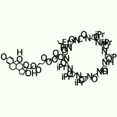 C/C=C/C[C@@H](C)[C@@H](OC(=O)OCOC(=O)CCC(=O)OCC(=O)[C@@]1(O)CCC2C3CCC4=CC(=O)C=C[C@]4(C)C3[C@@H](O)C[C@@]21C)C1C(=O)NC(CC)C(=O)N(C)CC(=O)N(C)[C@@H](CC(C)C)C(=O)NC(C(C)C)C(=O)N(C)C(CC(C)C)C(=O)NC(C)C(=O)NC(C)C(=O)N(C)C(CC(C)C)C(=O)N(C)C(CC(C)C)C(=O)N(C)C(C(C)C)C(=O)N1C